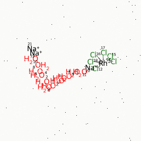 O.O.O.O.O.O.O.O.O.O.O.O.[Cl][Rh-3]([Cl])([Cl])([Cl])([Cl])[Cl].[Na+].[Na+].[Na+]